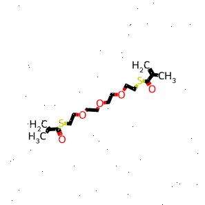 C=C(C)C(=O)SCCOCCOCCOCCSC(=O)C(=C)C